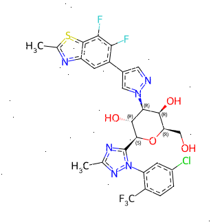 Cc1nc([C@@H]2O[C@H](CO)[C@H](O)[C@H](n3cc(-c4cc5nc(C)sc5c(F)c4F)cn3)[C@H]2O)n(-c2cc(Cl)ccc2C(F)(F)F)n1